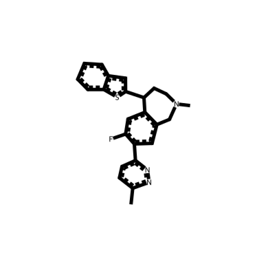 Cc1ccc(-c2cc3c(cc2F)C(c2cc4ccccc4s2)CCN(C)C3)nn1